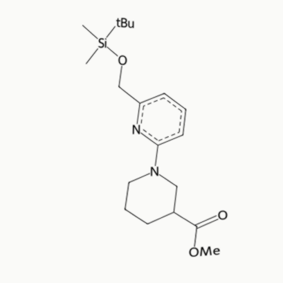 COC(=O)C1CCCN(c2cccc(CO[Si](C)(C)C(C)(C)C)n2)C1